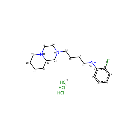 Cl.Cl.Cl.Clc1ccccc1NCCCCN1CCN2CCCCC2C1